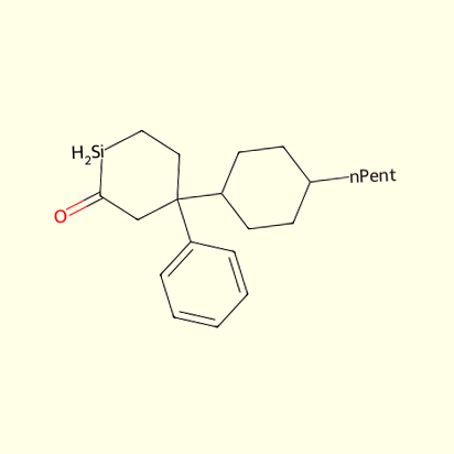 CCCCCC1CCC(C2(c3ccccc3)CC[SiH2]C(=O)C2)CC1